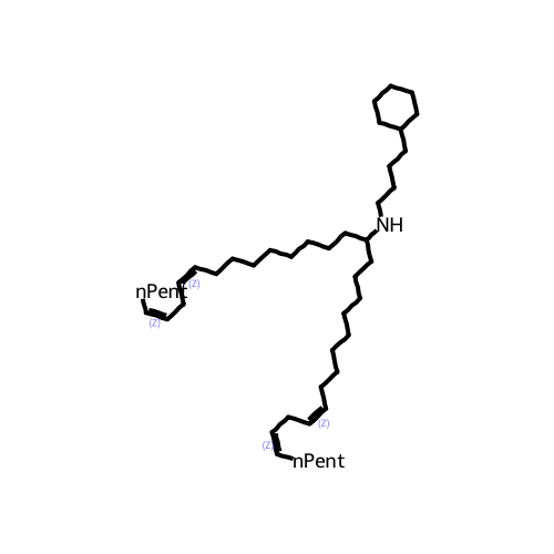 CCCCC/C=C\C/C=C\CCCCCCCCC(CCCCCCCC/C=C\C/C=C\CCCCC)NCCCCC1CCCCC1